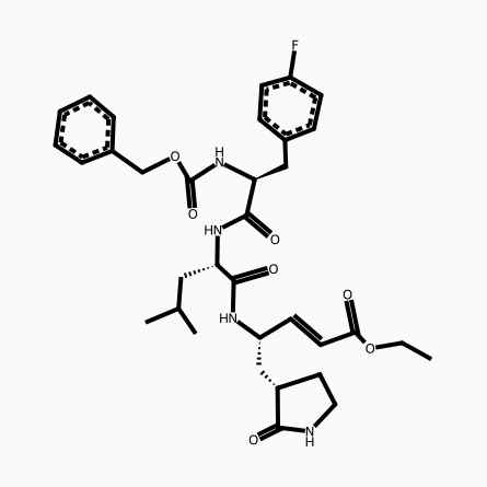 CCOC(=O)/C=C/[C@H](C[C@@H]1CCNC1=O)NC(=O)[C@H](CC(C)C)NC(=O)[C@H](Cc1ccc(F)cc1)NC(=O)OCc1ccccc1